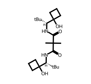 CC(C)(C(=O)N[C@H](C(C)(C)C)C1(O)CCC1)C(=O)N[C@H](C(C)(C)C)C1(O)CCC1